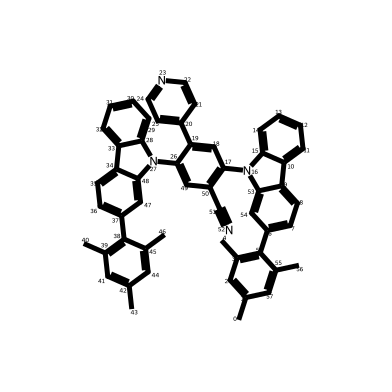 Cc1cc(C)c(-c2ccc3c4ccccc4n(-c4cc(-c5ccncc5)c(-n5c6ccccc6c6ccc(-c7c(C)cc(C)cc7C)cc65)cc4C#N)c3c2)c(C)c1